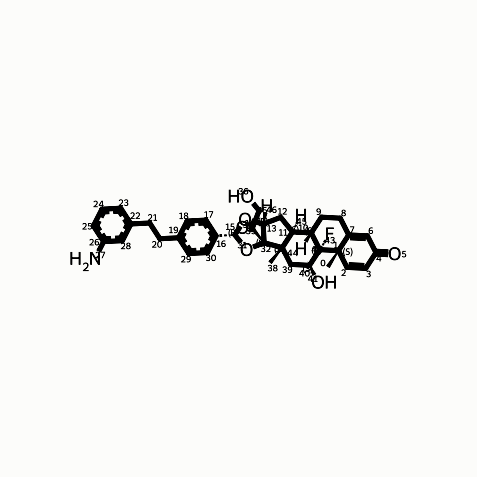 C[C@]12C=CC(=O)C=C1CC[C@H]1[C@@H]3C[C@H]4O[C@@H](c5ccc(CCc6cccc(N)c6)cc5)O[C@@]4(C(=O)CO)[C@@]3(C)C[C@H](O)[C@@]12F